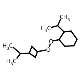 CC(C)C1CC(OOC2CCCCC2C(C)C)C1